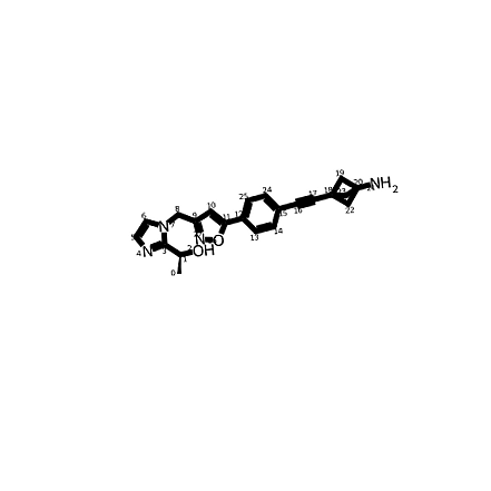 C[C@H](O)c1nccn1Cc1cc(-c2ccc(C#CC34CC(N)(C3)C4)cc2)on1